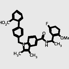 COC1=C(C(C)NC(=O)c2ccc3c(c2)c(C)c(C)n3Cc2ccc(-c3ccccc3C(=O)O)cc2)C=C(F)CC1